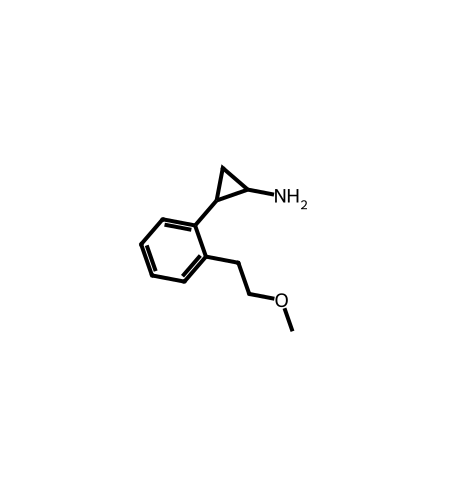 COCCc1ccccc1C1CC1N